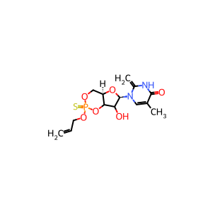 C=CCOP1(=S)OC[C@H]2O[C@@H](N3C=C(C)C(=O)NC3=C)C(O)C2O1